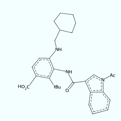 CC(=O)n1cc(C(=O)Nc2c(NCC3CCCCC3)ccc(C(=O)O)c2C(C)(C)C)c2ccccc21